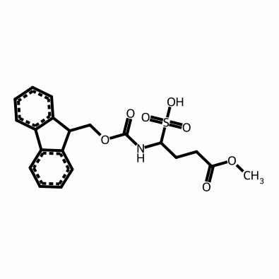 COC(=O)CCC(NC(=O)OCC1c2ccccc2-c2ccccc21)S(=O)(=O)O